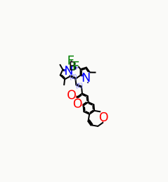 CC1=CC(C)=[N+](B(F)F)/C1=C(/C=C/c1cc2cc3c(cc2oc1=O)C#CCCOC3)c1c(C)cc(C)n1C